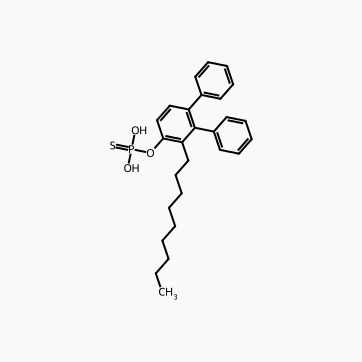 CCCCCCCCCc1c(OP(O)(O)=S)ccc(-c2ccccc2)c1-c1ccccc1